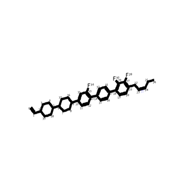 C=CC1CCC(C2CCC(c3ccc(-c4ccc(-c5ccc(C/C=C\CC)c(F)c5F)cc4)c(F)c3)CC2)CC1